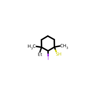 CCC1(C)CCCC(C)(S)C1I